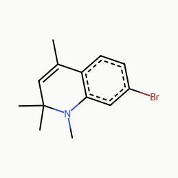 CC1=CC(C)(C)N(C)c2cc(Br)ccc21